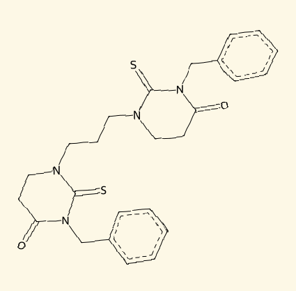 O=C1CCN(CCCN2CCC(=O)N(Cc3ccccc3)C2=S)C(=S)N1Cc1ccccc1